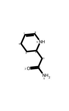 NC(=O)CC1CCC=CN1